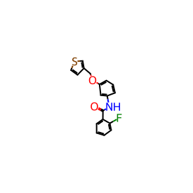 O=C(Nc1cccc(OCc2ccsc2)c1)c1ccccc1F